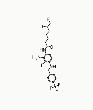 Nc1c(NC(=O)CCCCC(F)CF)ccc(NCc2ccc(C(F)(F)F)cc2)c1F